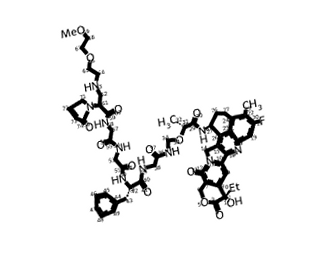 CC[C@@]1(O)C(=O)OCc2c1cc1n(c2=O)Cc2c-1nc1cc(F)c(C)c3c1c2[C@@H](NC(=O)[C@@H](C)OCNC(=O)CNC(=O)[C@H](Cc1ccccc1)NC(=O)CNC(=O)CNC(=O)C(CNCCOCCOC)N1CC=CC1=O)CC3